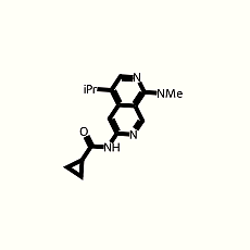 CNc1ncc(C(C)C)c2cc(NC(=O)C3CC3)ncc12